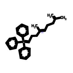 C=C(C)CC/C=C(\C)CCC=P(c1ccccc1)(c1ccccc1)c1ccccc1